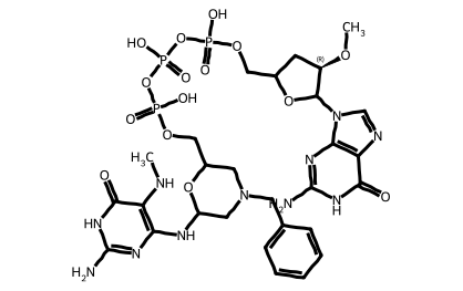 CNc1c(NC2CN(Cc3ccccc3)CC(COP(=O)(O)OP(=O)(O)OP(=O)(O)OCC3C[C@@H](OC)C(n4cnc5c(=O)[nH]c(N)nc54)O3)O2)nc(N)[nH]c1=O